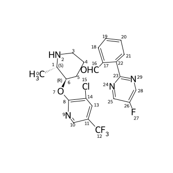 C[C@@H]1NCCC[C@H]1Oc1ncc(C(F)(F)F)cc1Cl.O=Cc1ccccc1-c1ncc(F)cn1